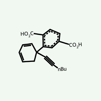 CCCCC#CC1(c2cc(C(=O)O)ccc2C(=O)O)C=CC=CC1